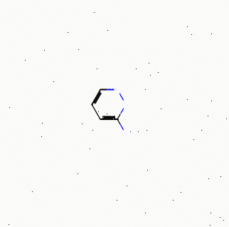 NC1=CC=CNN1